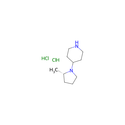 C[C@H]1CCCN1C1CCNCC1.Cl.Cl